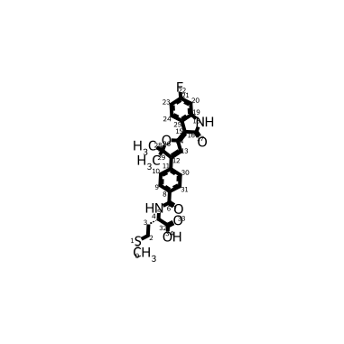 CSCC[C@H](NC(=O)c1ccc(C2=C/C(=C3\C(=O)Nc4cc(F)ccc43)OC2(C)C)cc1)C(=O)O